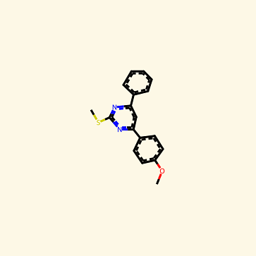 COc1ccc(-c2cc(-c3ccccc3)nc(SC)n2)cc1